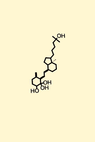 C=C1CCC(O)C(O)(O)/C1=C/C=C1\CCC[C@]2(C)C(CCCCC(C)(C)O)CCC12